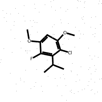 COc1cc(OC)c(Cl)c(C(C)C)c1F